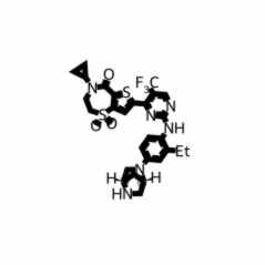 CCc1cc(N2C[C@H]3C[C@@H]2CN3)ccc1Nc1ncc(C(F)(F)F)c(-c2cc3c(s2)C(=O)N(C2CC2)CCS3(=O)=O)n1